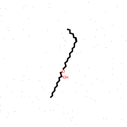 CCCCC/C=C\CCCCCCCCCCCOC[C@H](O)CCCCCCCCC